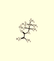 C=C(C)C(=O)OC(C)(N)[N+](C)(C)C.[Cl-]